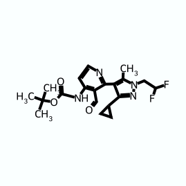 Cc1c(-c2nccc(NC(=O)OC(C)(C)C)c2C=O)c(C2CC2)nn1CC(F)F